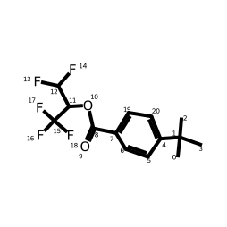 CC(C)(C)c1ccc(C(=O)OC(C(F)F)C(F)(F)F)cc1